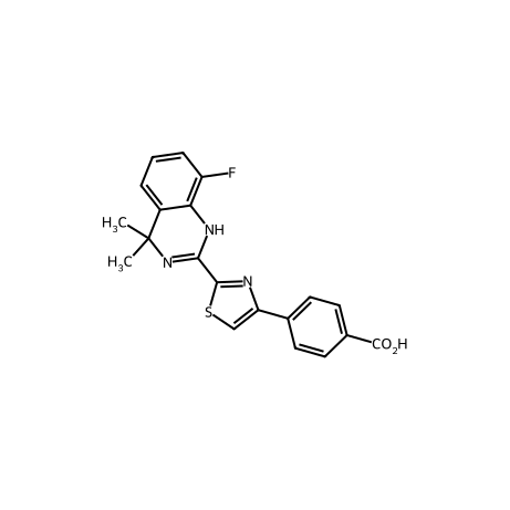 CC1(C)N=C(c2nc(-c3ccc(C(=O)O)cc3)cs2)Nc2c(F)cccc21